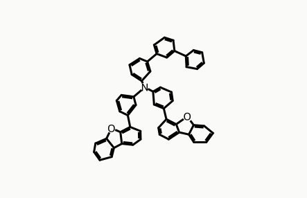 c1ccc(-c2cccc(-c3cccc(N(c4cccc(-c5cccc6c5oc5ccccc56)c4)c4cccc(-c5cccc6c5oc5ccccc56)c4)c3)c2)cc1